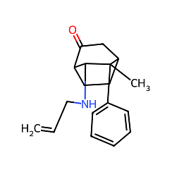 C=CCNC1C2CCC(CC2=O)C1(C)c1ccccc1